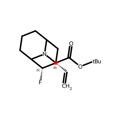 C=C[C@H]1CC2CCCC([C@H]1F)N2CC(=O)OC(C)(C)C